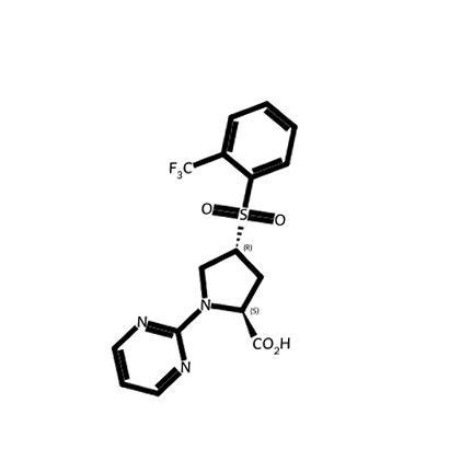 O=C(O)[C@@H]1C[C@@H](S(=O)(=O)c2ccccc2C(F)(F)F)CN1c1ncccn1